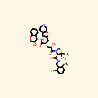 Cc1cccc(Cl)c1CNC(=O)[C@H]1N(C(=O)[C@@H](O)C[C@@H](Cc2cc3ccncc3o2)C(=O)N[C@H]2c3ccccc3OC[C@H]2O)CSC1(C)C